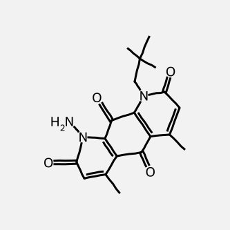 Cc1cc(=O)n(N)c2c1C(=O)c1c(C)cc(=O)n(CC(C)(C)C)c1C2=O